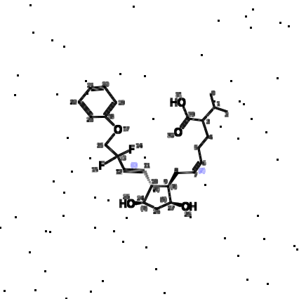 CC(C)C(CC/C=C\C[C@@H]1[C@@H](/C=C/C(F)(F)COc2ccccc2)[C@H](O)C[C@@H]1O)C(=O)O